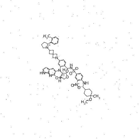 COC1(C)CCC(CNc2ccc(S(=O)(=O)NC(=O)c3ccc(N4CC5(CC(N6CCC[C@H]6c6ccccc6C)C5)C4)cc3N3c4cc5cc[nH]c5nc4O[C@H]4COC[C@@H]43)cc2[N+](=O)[O-])CC1